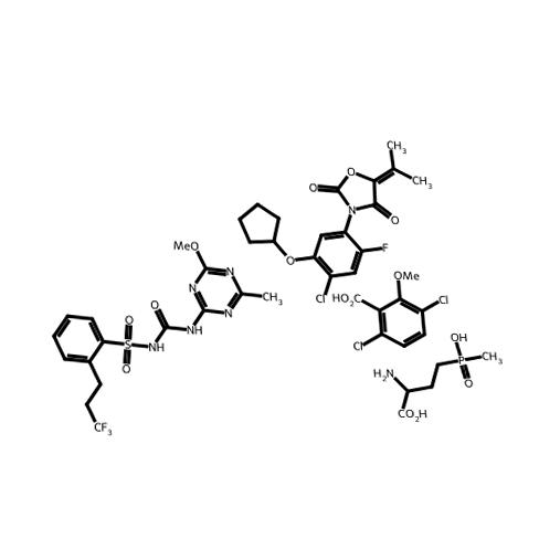 CC(C)=C1OC(=O)N(c2cc(OC3CCCC3)c(Cl)cc2F)C1=O.COc1c(Cl)ccc(Cl)c1C(=O)O.COc1nc(C)nc(NC(=O)NS(=O)(=O)c2ccccc2CCC(F)(F)F)n1.CP(=O)(O)CCC(N)C(=O)O